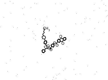 CCCCCC1CCC(c2ccc(C(=O)OC(COC(=O)c3ccc(OC(=O)c4ccc5c(c4)C(=O)c4ccccc4C5=O)cc3)c3ccccc3)cc2)CC1